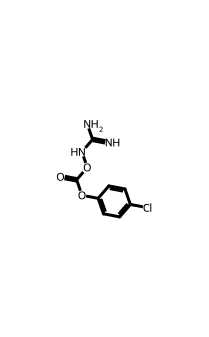 N=C(N)NOC(=O)Oc1ccc(Cl)cc1